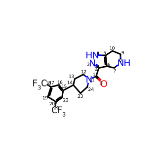 O=C(c1n[nH]c2c1CNCC2)N1CCC(c2cc(C(F)(F)F)cc(C(F)(F)F)c2)CC1